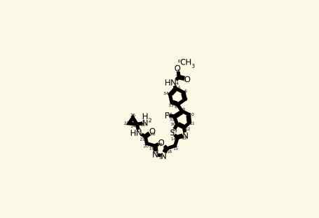 COC(=O)Nc1ccc(-c2ccc3nc(Cc4nnc(CC(=O)NC5(N)CC5)o4)sc3c2F)cc1